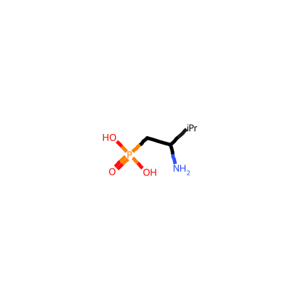 CC(C)C(N)CP(=O)(O)O